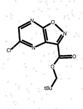 CC(C)(C)COC(=O)c1noc2ncc(Cl)nc12